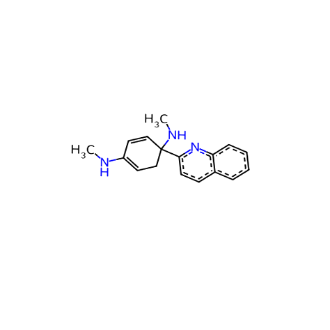 CNC1=CCC(NC)(c2ccc3ccccc3n2)C=C1